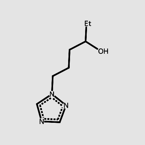 CCC(O)CCCn1cncn1